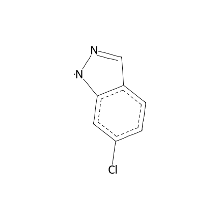 Clc1ccc2c(c1)[N]N=C2